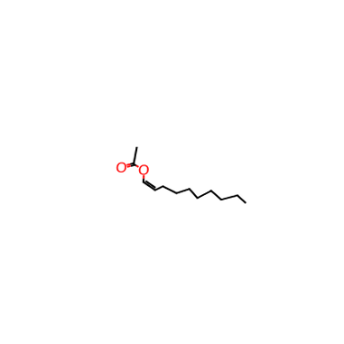 CCCCCCCC/C=C\OC(C)=O